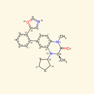 C[C@@H]1C(=O)N(C)c2ccc(-c3ccccc3-c3cnco3)cc2N1C1CCCC1